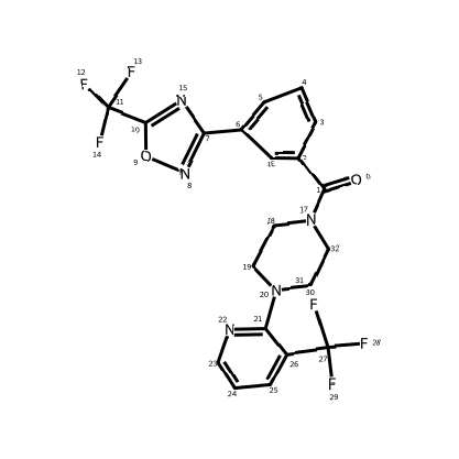 O=C(c1cccc(-c2noc(C(F)(F)F)n2)c1)N1CCN(c2ncccc2C(F)(F)F)CC1